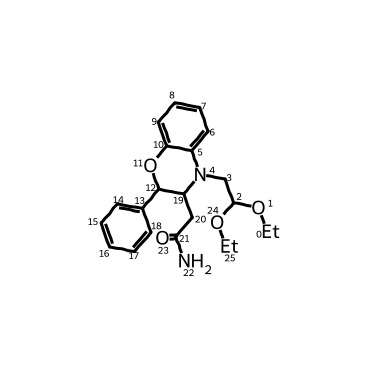 CCOC(CN1c2ccccc2OC(c2ccccc2)C1CC(N)=O)OCC